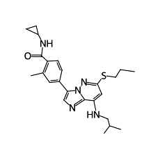 CCCSc1cc(NCC(C)C)c2ncc(-c3ccc(C(=O)NC4CC4)c(C)c3)n2n1